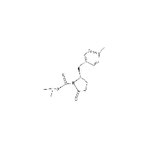 Cc1ccc(C[C@H]2CCC(=O)N2C(=O)OC(C)(C)C)cn1